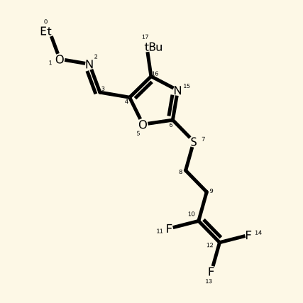 CCON=Cc1oc(SCCC(F)=C(F)F)nc1C(C)(C)C